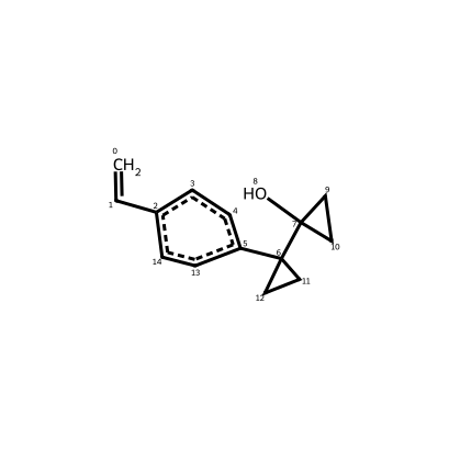 C=Cc1ccc(C2(C3(O)CC3)CC2)cc1